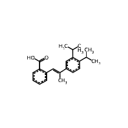 C/C(=C\c1ccccc1C(=O)O)c1ccc(C(C)C)c(C(C)C)c1